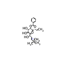 C=CC[C@@H]1O[C@@H](C(O)/C=C/[Si](C)(C)C)[C@@H](O)C(O)C1OC(=O)c1ccccc1